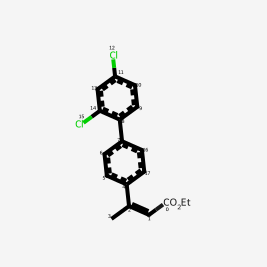 CCOC(=O)/C=C(/C)c1ccc(-c2ccc(Cl)cc2Cl)cc1